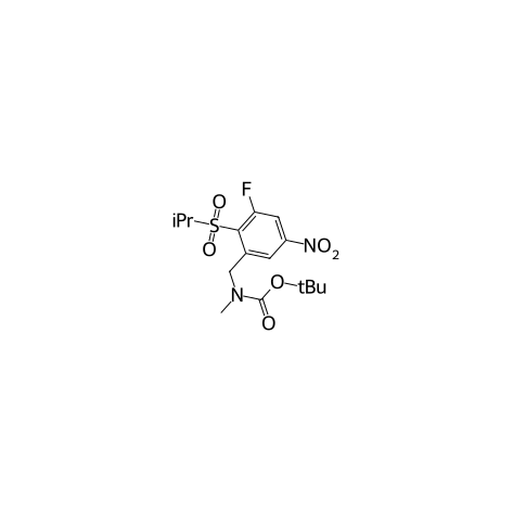 CC(C)S(=O)(=O)c1c(F)cc([N+](=O)[O-])cc1CN(C)C(=O)OC(C)(C)C